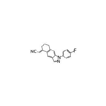 N#C/C=C1\CCCc2cc3c(cnn3-c3ccc(F)cc3)cc21